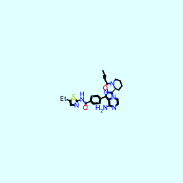 CC#CC(=O)N1CCCC[C@H]1c1nc(-c2ccc(C(=O)Nc3ncc(CC)s3)cc2)c2c(N)nccn12